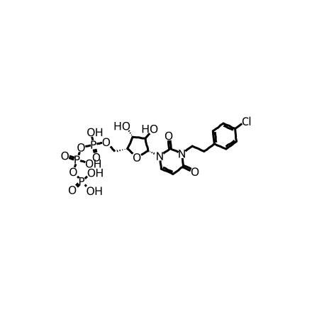 O=c1ccn([C@@H]2O[C@H](COP(=O)(O)OP(=O)(O)OP(=O)(O)O)[C@H](O)C2O)c(=O)n1CCc1ccc(Cl)cc1